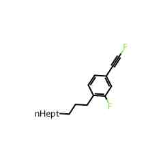 CCCCCCCCCCc1ccc(C#CF)cc1F